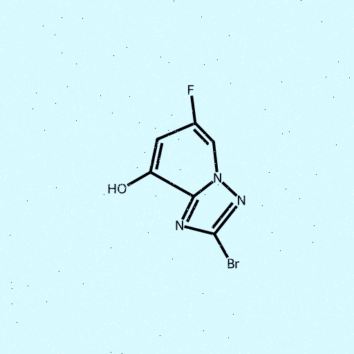 Oc1cc(F)cn2nc(Br)nc12